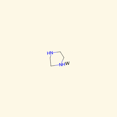 C1CNCCN1.[W]